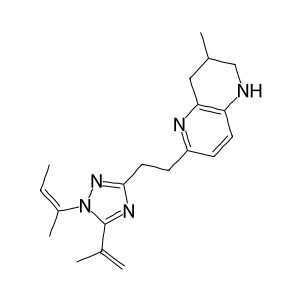 C=C(C)c1nc(CCc2ccc3c(n2)CC(C)CN3)nn1/C(C)=C\C